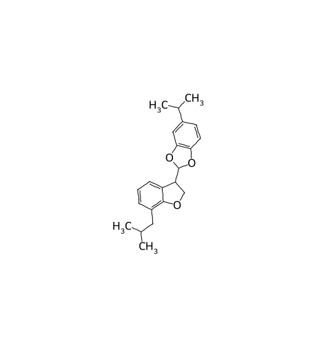 CC(C)Cc1cccc2c1OCC2C1Oc2ccc(C(C)C)cc2O1